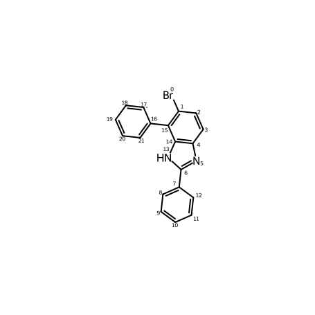 Brc1ccc2nc(-c3ccccc3)[nH]c2c1-c1[c]cccc1